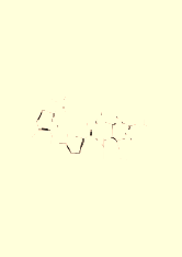 COc1nc(OC)c(NC(=O)c2ccc(Oc3nc([Si](C)(C)C)ccc3C)o2)c(OC)n1